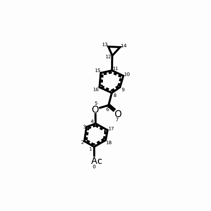 CC(=O)c1ccc(OC(=O)c2ccc(C3CC3)cc2)cc1